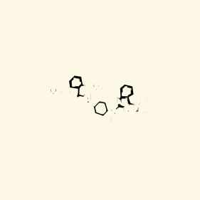 COc1cccc(OC)c1C(=O)NC[C@H]1CC[C@@H](Nc2nc(N(C)C)c3ccccc3n2)CC1